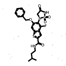 CC(C)CCNC(=O)c1cc2c(F)c(N3CC(=O)NS3(=O)=O)c(OCc3ccccc3)cc2s1